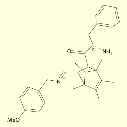 COc1ccc(C/N=C/C2C(C(=O)[C@@H](N)Cc3ccccc3)C3(C)C(C)=C(C)C2(C)C3C)cc1